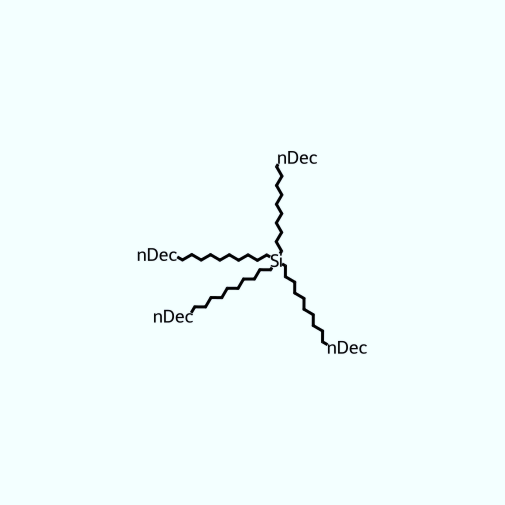 CCCCCCCCCCCCCCCCCCCC[Si](CCCCCCCCCCCCCCCCCCCC)(CCCCCCCCCCCCCCCCCCCC)CCCCCCCCCCCCCCCCCCCC